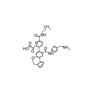 CCCNC(=O)c1ccc(-c2cc3c(cc2C(=O)Nc2ccc(CN)cc2)-c2sccc2CCO3)c(C(=O)NO)n1